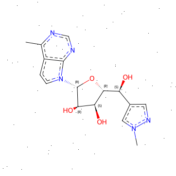 Cc1ncnc2c1ccn2[C@@H]1O[C@H]([C@@H](O)c2cnn(C)c2)[C@@H](O)[C@H]1O